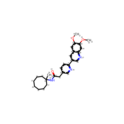 COc1cc2cc(-c3ccc(CC(=O)NC4(C)CCCCCCC4)cn3)cnc2cc1OC